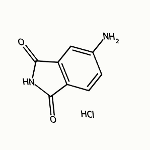 Cl.Nc1ccc2c(c1)C(=O)NC2=O